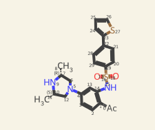 CC(=O)c1ccc(N2C[C@@H](C)N[C@@H](C)C2)cc1NS(=O)(=O)c1ccc(-c2cccs2)cc1